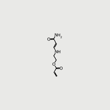 C=CC(=O)OCCNC=CC(N)=O